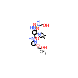 C[Si]1(C)CCN(c2cc(NS(=O)(=O)NCCO)ccc2C(=O)Nc2cccc(OC[C@H](O)C(F)(F)F)n2)CC1